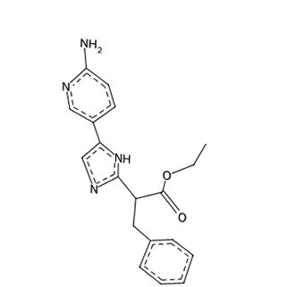 CCOC(=O)C(Cc1ccccc1)c1ncc(-c2ccc(N)nc2)[nH]1